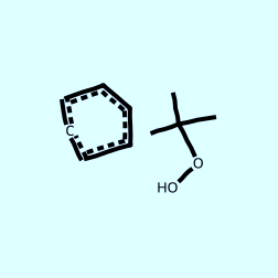 CC(C)(C)OO.c1ccccc1